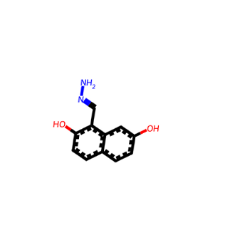 NN=Cc1c(O)ccc2ccc(O)cc12